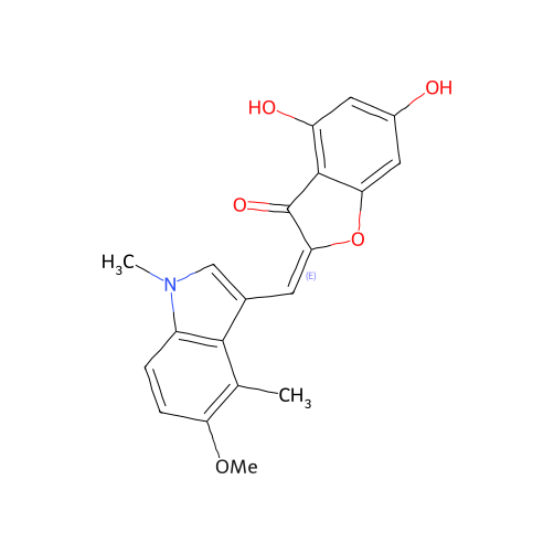 COc1ccc2c(c(/C=C3/Oc4cc(O)cc(O)c4C3=O)cn2C)c1C